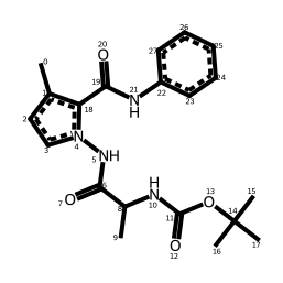 Cc1ccn(NC(=O)C(C)NC(=O)OC(C)(C)C)c1C(=O)Nc1ccccc1